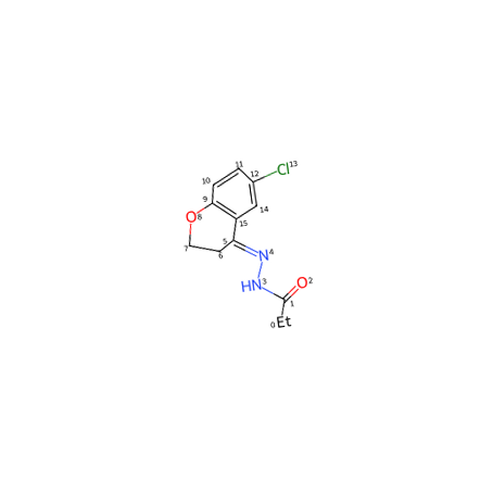 CCC(=O)NN=C1CCOc2ccc(Cl)cc21